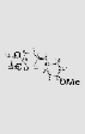 COc1ccc(C=C2CCC3(CC2)OCCO3)cc1